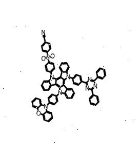 N#Cc1ccc(S(=O)(=O)c2ccc(-n3c4ccccc4c4c5c(c6ccccc6n5-c5ccc(N6c7ccccc7Oc7ccccc76)cc5)c5c(c6ccccc6n5-c5ccc(-c6nc(-c7ccccc7)nc(-c7ccccc7)n6)cc5)c43)cc2)cc1